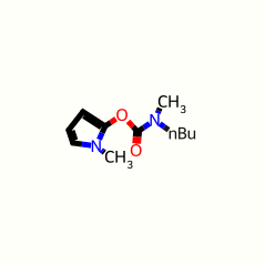 CCCCN(C)C(=O)Oc1cccn1C